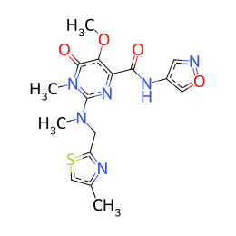 COc1c(C(=O)Nc2cnoc2)nc(N(C)Cc2nc(C)cs2)n(C)c1=O